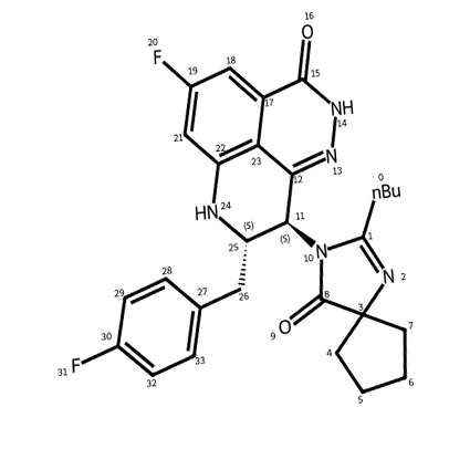 CCCCC1=NC2(CCCC2)C(=O)N1[C@@H]1c2n[nH]c(=O)c3cc(F)cc(c23)N[C@H]1Cc1ccc(F)cc1